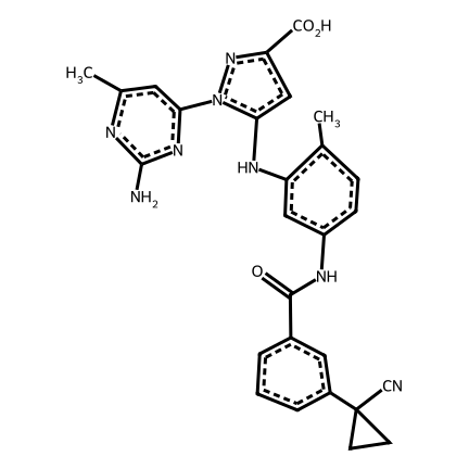 Cc1cc(-n2nc(C(=O)O)cc2Nc2cc(NC(=O)c3cccc(C4(C#N)CC4)c3)ccc2C)nc(N)n1